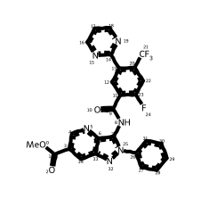 COC(=O)c1cnc2c(NC(=O)c3cc(-c4ncccn4)c(C(F)(F)F)cc3F)n(-c3ccccc3)nc2c1